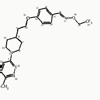 Cc1ccc(N2CCC(CCOc3ccc(C=NOCC(F)(F)F)cc3)CC2)nn1